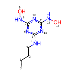 CCCCNc1nc(NO)nc(NO)n1